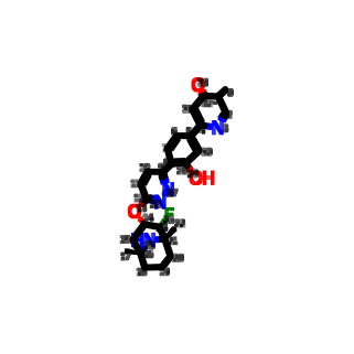 CC1C=NC(c2ccc(-c3ccc(O[C@@H]4C[C@@]5(C)CCC[C@](C)(N5)[C@@H]4F)nn3)c(O)c2)=CC1=O